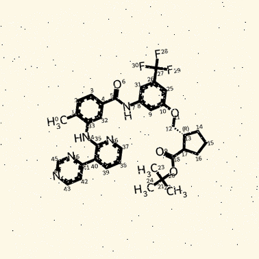 Cc1ccc(C(=O)Nc2cc(OC[C@@H]3CCCC3C(=O)OC(C)(C)C)cc(C(F)(F)F)c2)cc1Nc1ncccc1-c1ccncn1